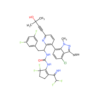 CNc1nn(C)c2c(-c3ccc(C#CC(C)(C)O)nc3C(Cc3cc(F)cc(F)c3)NC(=O)NC3=C(C(=N)C(F)F)CCC3(F)F)ccc(Cl)c12